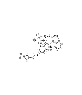 CC1CCN(CC(C)(C)F)[C@H](c2c(F)cc(OCCN3CC(CF)C3)cc2F)c2[nH]c3ccccc3c21